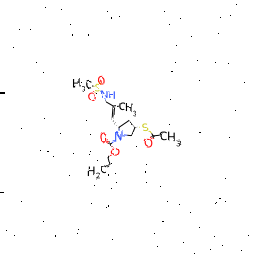 C=CCOC(=O)N1C[C@@H](SC(C)=O)C[C@H]1/C=C(\C)CNS(C)(=O)=O